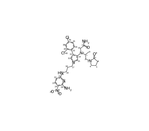 CC(CN1CCCC1=O)N(CC(N)=O)c1cn(CCCNc2ccc([N+](=O)[O-])c(N)n2)cc1-c1ccc(Cl)cc1Cl